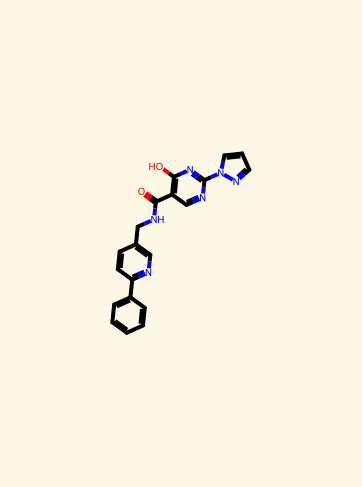 O=C(NCc1ccc(-c2ccccc2)nc1)c1cnc(-n2cccn2)nc1O